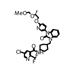 COCO[C@@H](C)COc1ccc(-n2c(=O)n(CC3CCC(NC(=O)c4cc(Cl)cnc4C(F)F)CC3)c3ccccc32)cn1